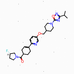 CC(C)c1noc(N2CCC(COc3ccc(C4=CCC(C(=O)N5CC[C@H](F)C5)CC4)nc3)CC2)n1